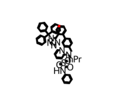 CCCN(Cc1ccc(-c2ccccc2-c2nnnn2C(c2ccccc2)(c2ccccc2)c2ccccc2)cc1)c1ncccc1S(=O)(=O)C(=O)Nc1ccccc1